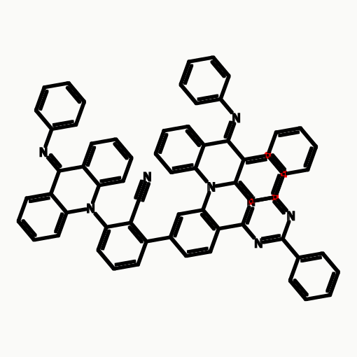 N#Cc1c(-c2ccc(-c3nc(-c4ccccc4)nc(-c4ccccc4)n3)c(-n3c4ccccc4c(=Nc4ccccc4)c4ccccc43)c2)cccc1-n1c2ccccc2c(=Nc2ccccc2)c2ccccc21